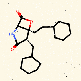 O=C1O[C@@]2(CCC3CCCCC3)C1NC(=O)[C@@H]2CC1CCCCC1